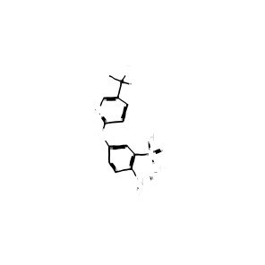 O=[N+]([O-])c1ccc(Oc2ccc(C(F)(F)F)cn2)cc1P(=O)(O)O